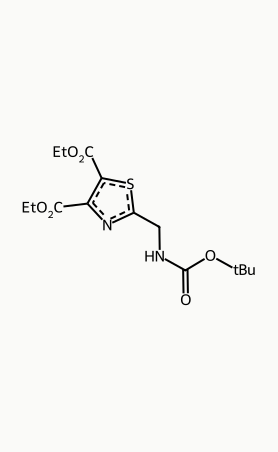 CCOC(=O)c1nc(CNC(=O)OC(C)(C)C)sc1C(=O)OCC